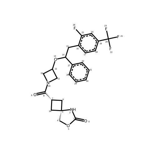 O=C1N[C@]2(CO1)C[C@@H](C(=O)N1CC(OC(Cc3ccc(C(F)(F)F)cc3F)c3ccccc3)C1)C2